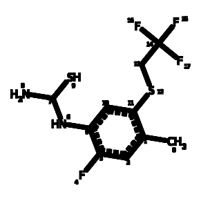 Cc1cc(F)c(NC(N)S)cc1SCC(F)(F)F